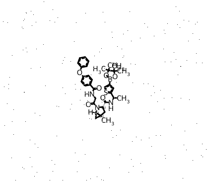 CC(NC(=O)[C@@H]1C[C@]2(C)C[C@@H]2N1C(=O)CNC(=O)c1ccc(Oc2ccccc2)cc1)c1cc(B2OC(C)(C)C(C)(C)O2)cs1